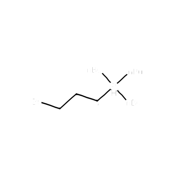 CCCC[PH](CCCC)(CCCC)CCCBr